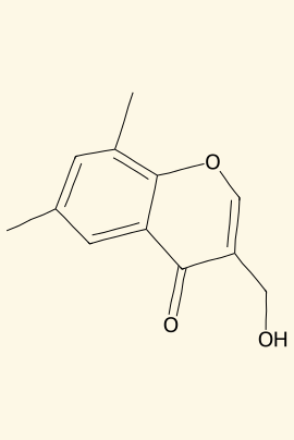 Cc1cc(C)c2occ(CO)c(=O)c2c1